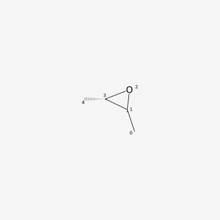 C[C]1O[C@H]1C